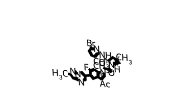 CC(=O)c1cn(CC(=O)N2[C@H](C(=O)Nc3nc(Br)ccc3C)C[C@@]3(C)C[C@@H]23)c2c(C)c(F)c(-c3cnc4cc(C)nn4c3)cc12